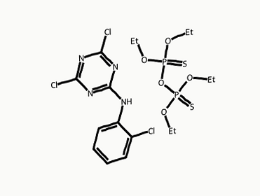 CCOP(=S)(OCC)OP(=S)(OCC)OCC.Clc1nc(Cl)nc(Nc2ccccc2Cl)n1